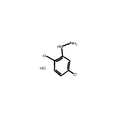 Cl.NNc1cc(Cl)ccc1Cl